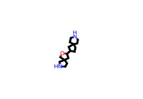 C1CC2(CCN1)CCC(C1CC3(CCNC3)CO1)C2